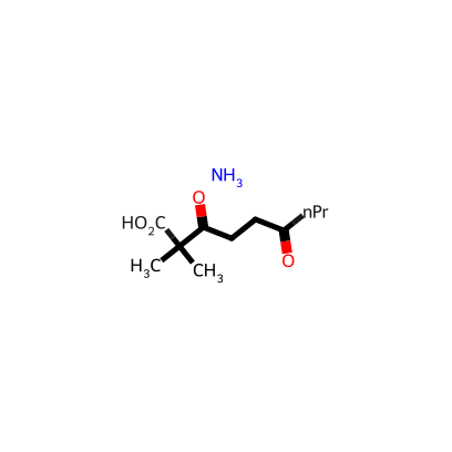 CCCC(=O)CCC(=O)C(C)(C)C(=O)O.N